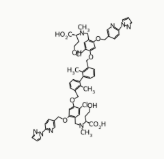 Cc1c(COc2cc(OCc3ccc(-n4cccn4)nc3)c(CN(C)[C@@H](CCO)C(=O)O)cc2Cl)cccc1-c1cccc(COc2cc(OCc3ccc(-n4cccn4)nc3)c(CN(C)[C@@H](CCO)C(=O)O)cc2Cl)c1C